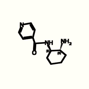 N[C@@H]1CCCC[C@H]1NC(=O)c1ccncc1